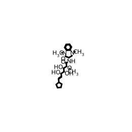 CO[C@@H](C(=O)N[C@H]1CN(C)c2ccccc2N(C)C1=O)[C@H](O)[C@@H](O)[C@H](O)C=CC1CCCC1